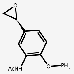 CC(=O)Nc1cc([C@H]2CO2)ccc1OP